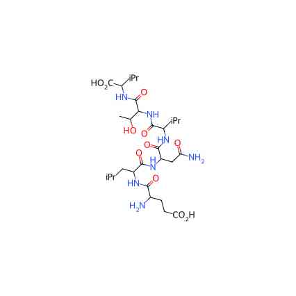 CC(C)CC(NC(=O)C(N)CCC(=O)O)C(=O)NC(CC(N)=O)C(=O)NC(C(=O)NC(C(=O)NC(C(=O)O)C(C)C)C(C)O)C(C)C